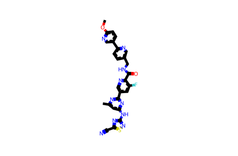 COc1ccc(-c2ccc(CNC(=O)c3ncc(-c4nc(C)cc(Nc5nsc(C#N)n5)n4)cc3F)cn2)cn1